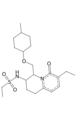 CCc1ccc2n(c1=O)C(COC1CCC(C)CC1)C(NS(=O)(=O)CC)CC2